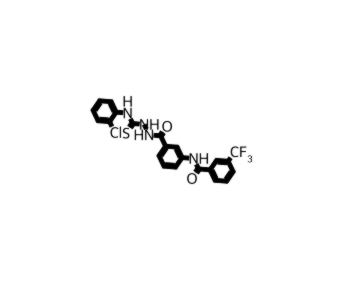 O=C(NNC(=S)Nc1ccccc1Cl)c1cccc(NC(=O)c2cccc(C(F)(F)F)c2)c1